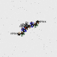 CCCCCCc1ccc(-c2sc(-c3cnc(-c4cc5c(s4)-c4sc(-c6ncc(-c7sc(-c8ccc(CCCCCC)s8)c(F)c7F)c7nsnc67)cc4[Si]5(CC(CC)CCCC)CC(CC)CCCC)c4nsnc34)c(F)c2F)s1